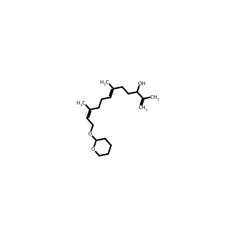 C=C(C)C(O)CC/C(C)=C/CC/C(C)=C\COC1CCCCO1